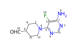 Nc1ncnc(N2CCC(C=O)CC2)c1F